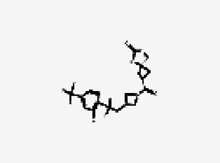 O=C1N[C@]2(CO1)C[C@H](C(=O)N1CC(CC(F)(F)c3ccc(C(F)(F)F)cc3Cl)C1)C2